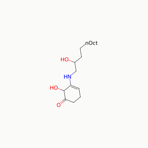 CCCCCCCCCCC(O)CNC1=CCCC(=O)C1O